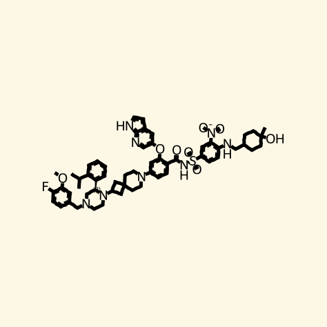 COc1cc(CN2CCN(C3CC4(CCN(c5ccc(C(=O)NS(=O)(=O)c6ccc(NCC7CCC(C)(O)CC7)c([N+](=O)[O-])c6)c(Oc6cnc7[nH]ccc7c6)c5)CC4)C3)[C@H](c3ccccc3C(C)C)C2)ccc1F